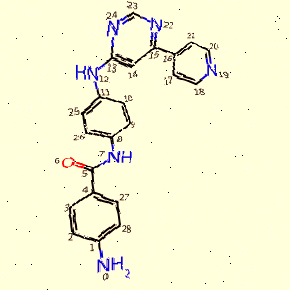 Nc1ccc(C(=O)Nc2ccc(Nc3cc(-c4ccncc4)ncn3)cc2)cc1